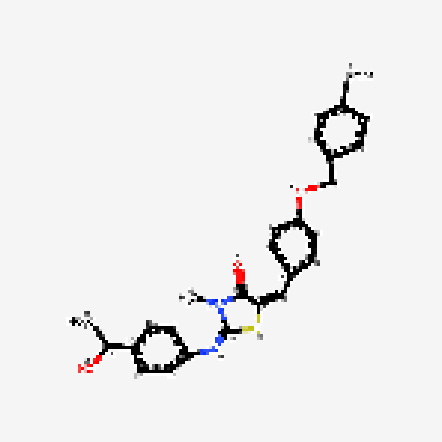 CCCCCc1ccc(COc2ccc(C=C3SC(=Nc4ccc(C(O)C(=O)O)cc4)N(C)C3=O)cc2)cc1